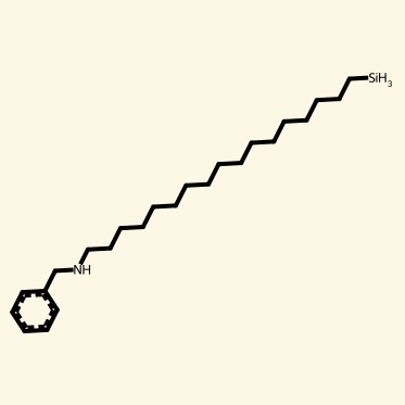 [SiH3]CCCCCCCCCCCCCCCCCNCc1ccccc1